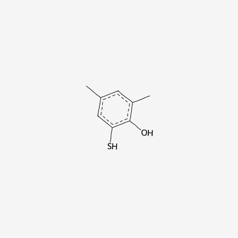 Cc1cc(C)c(O)c(S)c1